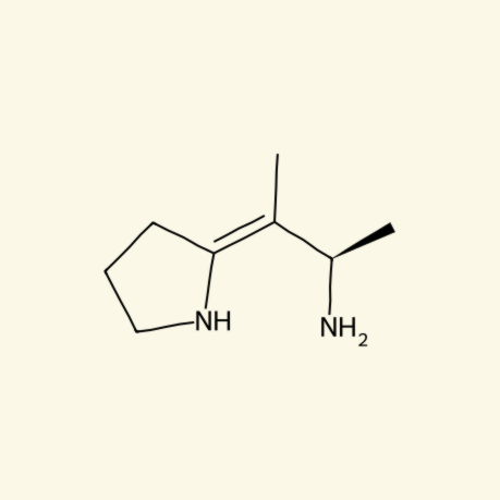 C/C(=C1\CCCN1)[C@@H](C)N